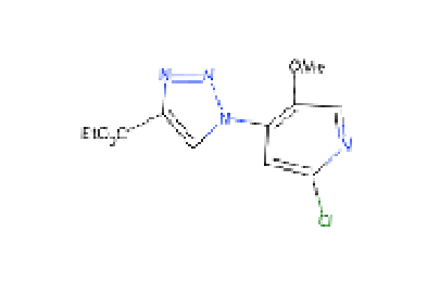 CCOC(=O)c1cn(-c2cc(Cl)ncc2OC)nn1